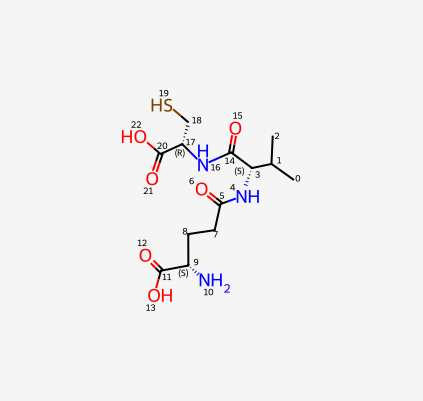 CC(C)[C@H](NC(=O)CC[C@H](N)C(=O)O)C(=O)N[C@@H](CS)C(=O)O